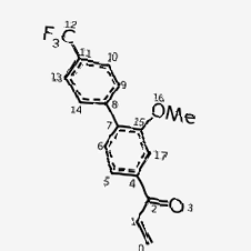 C=CC(=O)c1ccc(-c2ccc(C(F)(F)F)cc2)c(OC)c1